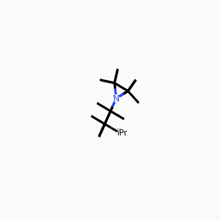 CC(C)C(C)(C)C(C)(C)N1C(C)(C)C1(C)C